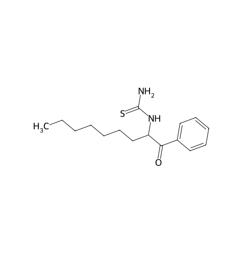 CCCCCCCC(NC(N)=S)C(=O)c1ccccc1